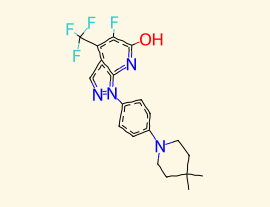 CC1(C)CCN(c2ccc(-n3ncc4c(C(F)(F)F)c(F)c(O)nc43)cc2)CC1